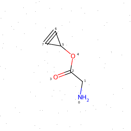 NCC(=O)OC1C#C1